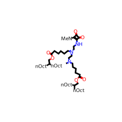 CCCCCCCCC(CCCCCCCC)COC(=O)CCCCCN(C)CCN(CCCCCC(=O)OCC(CCCCCCCC)CCCCCCCC)CCNc1c(NC)c(=O)c1=O